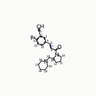 C#Cc1cc(/C=C/C(=O)N2CCC[C@H]2CN2CCCCC2)ccc1F